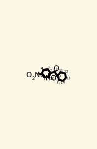 O=C(c1ccc([N+](=O)[O-])cc1)C1(O)CCCCC1